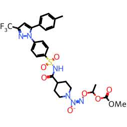 COC(=O)OC(C)O/N=[N+](/[O-])N1CCC(C(=O)NS(=O)(=O)c2ccc(-n3nc(C(F)(F)F)cc3-c3ccc(C)cc3)cc2)CC1